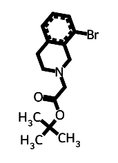 CC(C)(C)OC(=O)CN1CCc2cccc(Br)c2C1